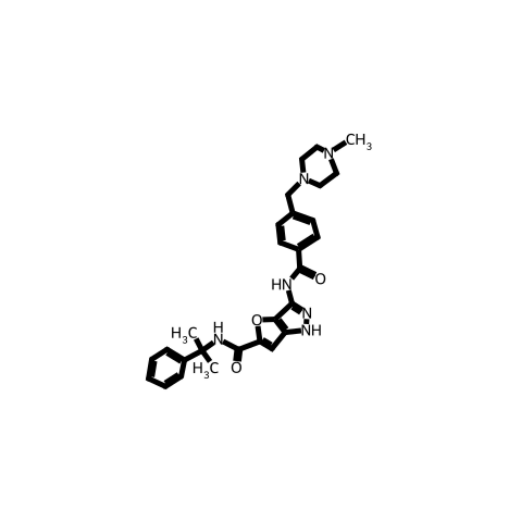 CN1CCN(Cc2ccc(C(=O)Nc3n[nH]c4cc(C(=O)NC(C)(C)c5ccccc5)oc34)cc2)CC1